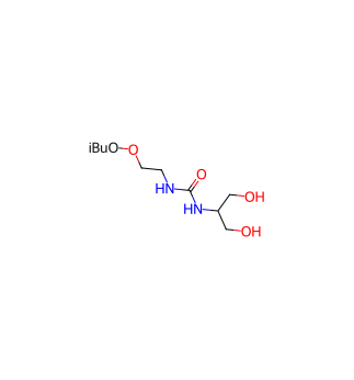 CC(C)COOCCNC(=O)NC(CO)CO